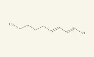 SC=CC=CCCCCS